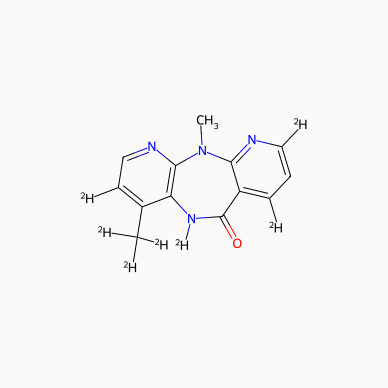 [2H]c1cc([2H])c2c(n1)N(C)c1ncc([2H])c(C([2H])([2H])[2H])c1N([2H])C2=O